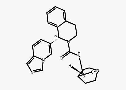 O=C(N[C@@H]1CN2CCC1CC2)N1CCc2ccccc2[C@H]1c1ccc2cncn2c1